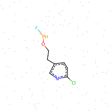 FPOCCc1ccc(Cl)nc1